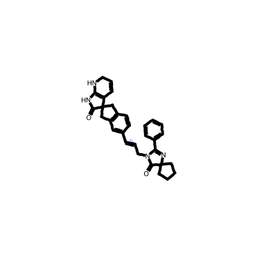 O=C1N(C/C=C/c2ccc3c(c2)CC2(C3)C(=O)NC3=C2C=CCN3)C(c2ccccc2)=NC12CCCC2